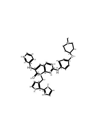 CN1CCC(Oc2ccc(Nc3ncc4cc(Nc5cccnc5)c(=O)n(Cc5ccsc5-c5nccs5)c4n3)cc2)CC1